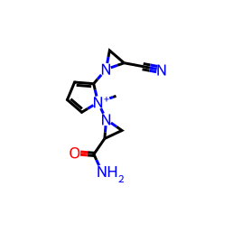 C[N+]1(N2CC2C(N)=O)C=CC=C1N1CC1C#N